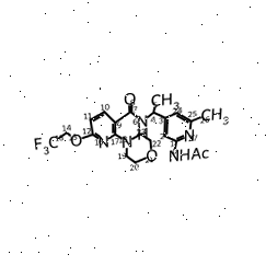 CC(=O)Nc1cc(C(C)NC(=O)c2ccc(OCC(F)(F)F)nc2N2CCOCC2)cc(C)n1